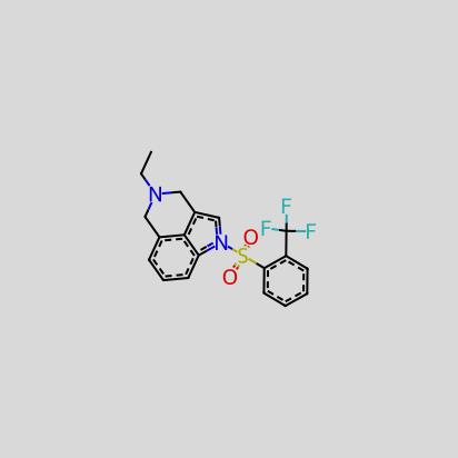 CCN1Cc2cccc3c2c(cn3S(=O)(=O)c2ccccc2C(F)(F)F)C1